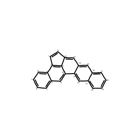 C1=Cc2c3ccccc3cc3c2c1cc1cc2ccccc2cc13